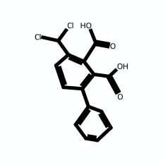 O=C(O)c1c(-c2ccccc2)ccc(C(Cl)Cl)c1C(=O)O